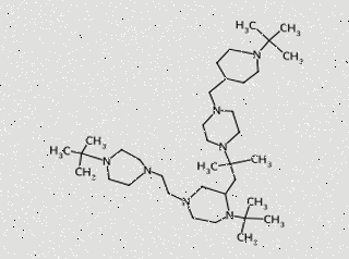 CC(C)(C)N1CCC(CN2CCN(C(C)(C)CC3CN(CCN4CCN(C(C)(C)C)CC4)CCN3C(C)(C)C)CC2)CC1